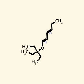 CC/C=C/C=C/O[Si](CC)(CC)CC